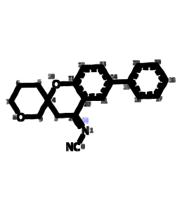 N#C/N=C1\CC2(CCCOC2)Oc2ccc(-c3ccccc3)cc21